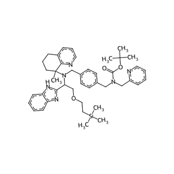 CC(C)(C)OC(=O)N(Cc1ccc(CN(C(COCC[Si](C)(C)C)c2nc3ccccc3[nH]2)C2(C)CCCc3cccnc32)cc1)Cc1ccccn1